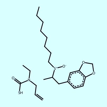 C=CCN(CC)C(=O)S.CCCCCCCC[S+]([O-])C(C)Cc1ccc2c(c1)OCO2